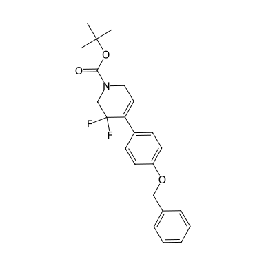 CC(C)(C)OC(=O)N1CC=C(c2ccc(OCc3ccccc3)cc2)C(F)(F)C1